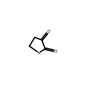 O=C1CC[N]C1=O